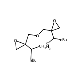 CCCCC(C)C1(COCC2(C(C)CCCC)CO2)CO1